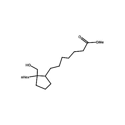 CCCCCCC1(CO)CCCC1CCCCCCC(=O)OC